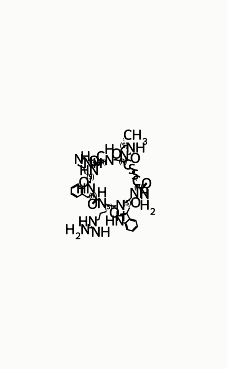 CC[C@H]1CN([C@H]2CSSC[C@@H](C(N)=O)NC(=O)[C@H](Cc3c[nH]c4ccccc34)NC(=O)[C@H](CCCNC(=N)N)NC(=O)[C@@H](Cc3ccccc3)NC(=O)[C@H](CC3CN=CN3)NC(=O)[C@@H](C)NC2=O)C(=O)N1